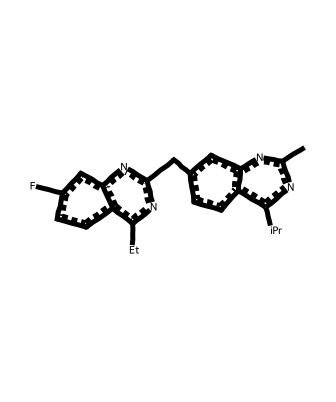 CCc1nc(Cc2ccc3c(C(C)C)nc(C)nc3c2)nc2cc(F)ccc12